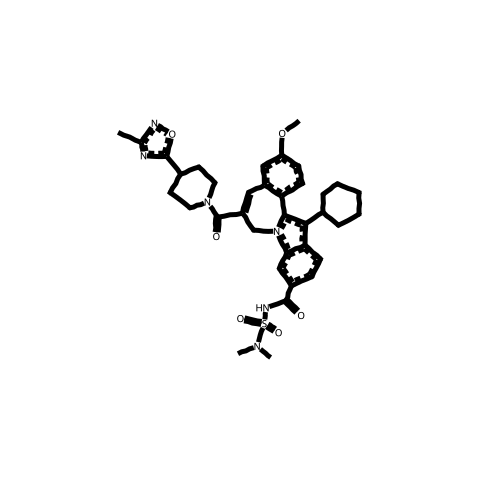 COc1ccc2c(c1)C=C(C(=O)N1CCC(c3nc(C)no3)CC1)Cn1c-2c(C2CCCCC2)c2ccc(C(=O)NS(=O)(=O)N(C)C)cc21